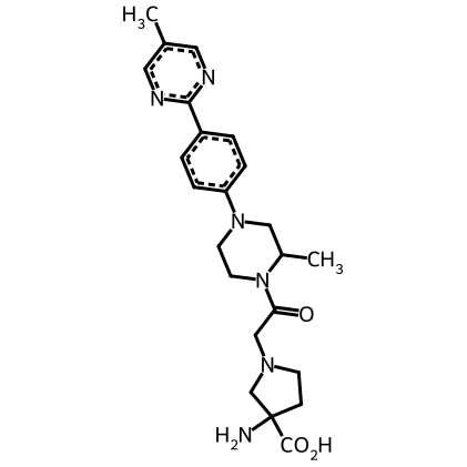 Cc1cnc(-c2ccc(N3CCN(C(=O)CN4CCC(N)(C(=O)O)C4)C(C)C3)cc2)nc1